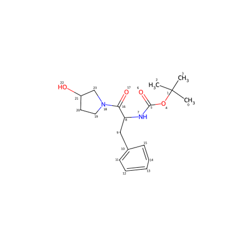 CC(C)(C)OC(=O)NC(Cc1ccccc1)C(=O)N1CCC(O)C1